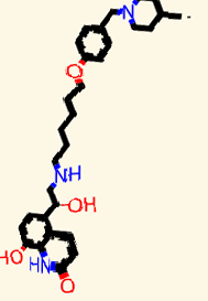 [CH2]C1CCN(Cc2ccc(OCCCCCCNC[C@H](O)c3ccc(O)c4[nH]c(=O)ccc34)cc2)CC1